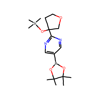 CC1(C)OB(c2cnc(C3(O[Si](C)(C)C)CCOC3)nc2)OC1(C)C